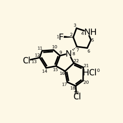 Cl.F[C@H]1CNCC[C@@H]1n1c2ccc(Cl)cc2c2cc(Cl)ccc21